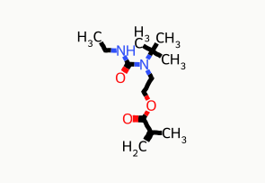 C=C(C)C(=O)OCCN(C(=O)NCC)C(C)(C)C